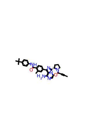 CC#CC(=O)N1CCC[C@H]1c1nc(-c2ccc(C(=O)Nc3ccc(C(C)(C)C)cc3)c(C)c2)c2c(N)nccn12